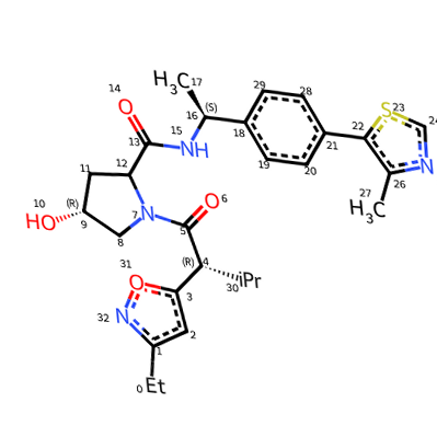 CCc1cc([C@H](C(=O)N2C[C@H](O)CC2C(=O)N[C@@H](C)c2ccc(-c3scnc3C)cc2)C(C)C)on1